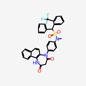 CN(c1ccc(N2C(=O)CC(=O)Nc3c2ccc2ccccc32)cc1)S(=O)(=O)C(c1ccccc1)c1ccccc1C(F)(F)F